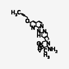 CC#CCOc1cnc2c(Nc3cc4c(cn3)C[C@]43CS(=O)(=O)[C@@](C)(C4CC4)C(N)=N3)nccc2c1